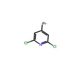 C[C](C)c1cc(Cl)nc(Cl)c1